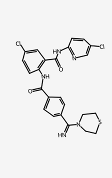 N=C(c1ccc(C(=O)Nc2ccc(Cl)cc2C(=O)Nc2ccc(Cl)cn2)cc1)N1CCSCC1